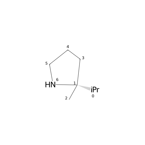 CC(C)[C@@]1(C)CCCN1